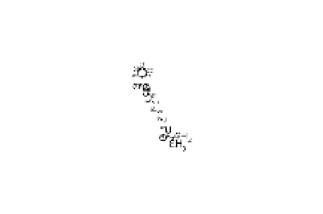 C=C(C)C(=O)OCCCCCCCCOOC(=O)c1ccccc1